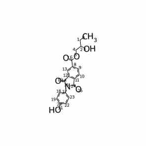 CCC(O)COC(=O)c1ccc2c(c1)C(=O)N(c1ccc(O)cc1)C2=O